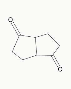 O=C1CCC2C(=O)CCC12